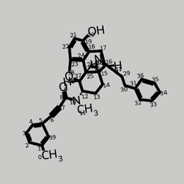 Cc1cccc(C#CC(=O)N(C)[C@H]2CC[C@H]3[C@H]4Cc5c(O)ccc6c5[C@@]3(CCN4CCc3ccccc3)[C@H]2O6)c1